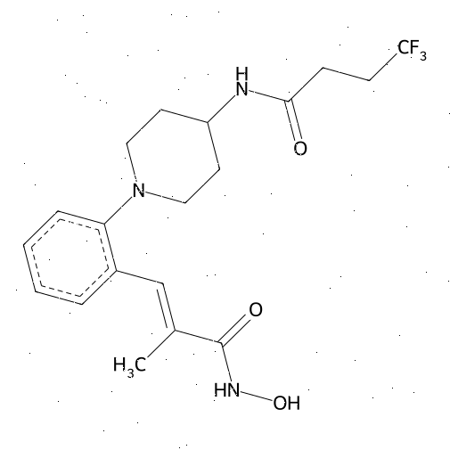 C/C(=C\c1ccccc1N1CCC(NC(=O)CCC(F)(F)F)CC1)C(=O)NO